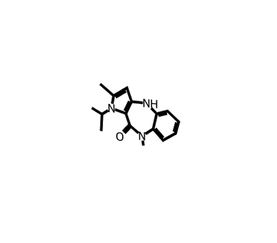 Cc1cc2c(n1C(C)C)C(=O)N(C)c1ccccc1N2